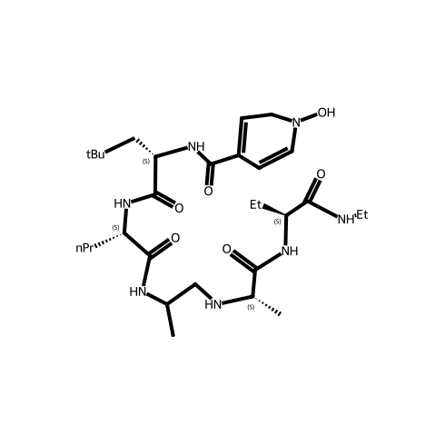 CCC[C@H](NC(=O)[C@H](CC(C)(C)C)NC(=O)C1=CCN(O)C=C1)C(=O)NC(C)CN[C@@H](C)C(=O)N[C@@H](CC)C(=O)NCC